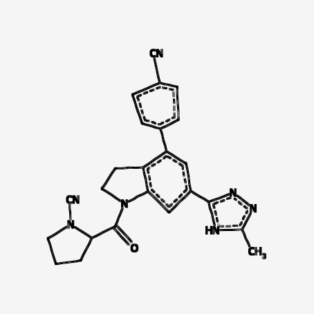 Cc1nnc(-c2cc(-c3ccc(C#N)cc3)c3c(c2)N(C(=O)C2CCCN2C#N)CC3)[nH]1